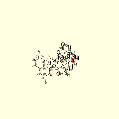 [2H]O[C@@H]1CC(CC[C@@H]2[C@@H]3C(=C[C@H](C)C[C@@H]3OC(=O)C(C([2H])([2H])[2H])(C([2H])([2H])[2H])C([2H])([2H])C([2H])([2H])[2H])C=C[C@@H]2C)OC(=O)C1([2H])[2H]